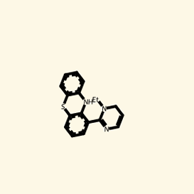 CCN1CC=CN=C1c1cccc2c1Nc1ccccc1S2